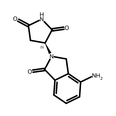 Nc1cccc2c1CN([C@H]1CC(=O)NC1=O)C2=O